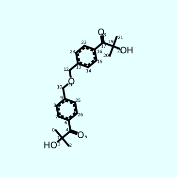 CC(C)(O)C(=O)c1ccc(COCc2ccc(C(=O)C(C)(C)O)cc2)cc1